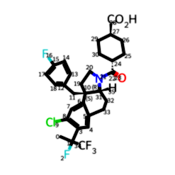 CC(F)(c1cc2c(cc1Cl)[C@]1(Cc3ccc(F)cc3)CCN(C(=O)[C@H]3CC[C@H](C(=O)O)CC3)[C@@H]1CC2)C(F)(F)F